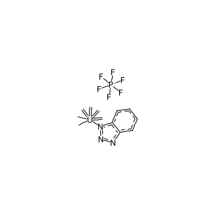 F[P-](F)(F)(F)(F)F.[CH2]=[U](=[CH2])(=[CH2])(=[CH2])([CH3])([CH3])[n]1nnc2ccccc21